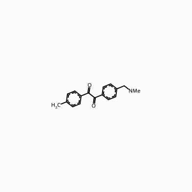 CNCc1ccc(C(=O)C(=O)c2ccc(C)cc2)cc1